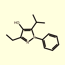 CCc1nn(-c2ccccc2)c(C(C)C)c1O